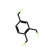 FCc1[c]c(CF)c(CF)cc1